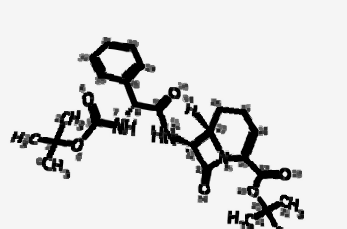 CC(C)(C)OC(=O)N[C@@H](C(=O)N[C@@H]1C(=O)N2C(C(=O)OC(C)(C)C)=CCC[C@@H]12)c1ccccc1